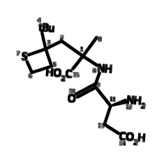 CC(CC1(C(C)(C)C)CCS1)(NC(=O)[C@@H](N)CC(=O)O)C(=O)O